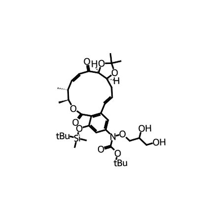 C[C@@H]1/C=C\C(=O)[C@H]2OC(C)(C)O[C@H]2C/C=C/c2cc(N(OCC(O)CO)C(=O)OC(C)(C)C)cc(O[Si](C)(C)C(C)(C)C)c2C(=O)O[C@H]1C